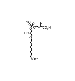 CCCCCCCCCCCCCCCCCCOCC(O)COP(=O)(OCCNC(=O)O)OC(C)(C)C